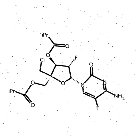 CC(C)C(=O)OC[C@@]1(CCl)O[C@@H](n2cc(F)c(N)nc2=O)[C@@H](F)[C@@H]1OC(=O)C(C)C